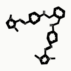 Cn1cc[n+](C)c1/N=N/c1ccc(NCc2ccccc2CNc2ccc(/N=N/c3n(C)cc[n+]3C)cc2)cc1